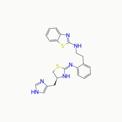 c1ccc(/N=C2\N[C@@H](Cc3c[nH]cn3)CS2)c(CCNc2nc3ccccc3s2)c1